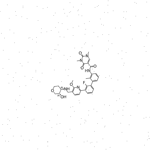 COc1nc(-c2cccc(-c3cccc(NC(=O)c4cn(C)c(=O)n(C)c4=O)c3C)c2F)ccc1CN[C@@H]1CCOC[C@@H]1O